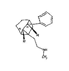 CNCC[C@@H]1C2CCC(CC2)[C@@H]1c1ccccc1